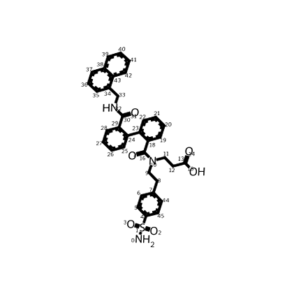 NS(=O)(=O)c1ccc(CCN(CCC(=O)O)C(=O)c2ccccc2-c2ccccc2C(=O)NCc2cccc3ccccc23)cc1